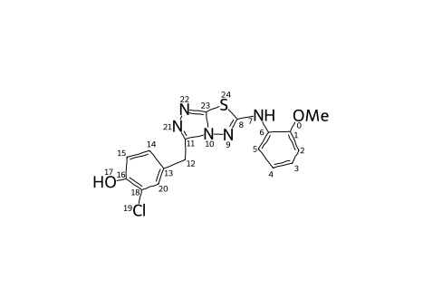 COc1ccccc1Nc1nn2c(Cc3ccc(O)c(Cl)c3)nnc2s1